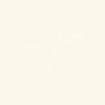 CNC1CC(NCC(=O)O)CN(C)C1